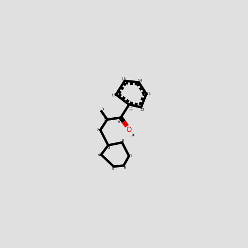 CC(CC1CCCCC1)C(=O)c1ccccc1